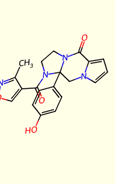 Cc1nocc1C(=O)N1CCN2C(=O)c3cccn3CC12c1ccc(O)cc1